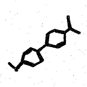 CSc1ccc(-c2ccc(C(C)=O)cc2)cc1